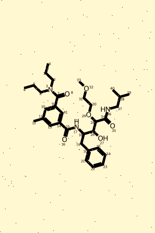 CCCN(CCC)C(=O)c1cc(C)cc(C(=O)NC(Cc2ccccc2)C(O)C(OCCOC)C(=O)NCC(C)C)c1